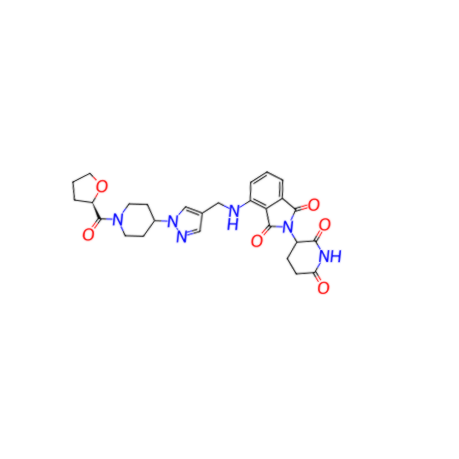 O=C1CCC(N2C(=O)c3cccc(NCc4cnn(C5CCN(C(=O)[C@H]6CCCO6)CC5)c4)c3C2=O)C(=O)N1